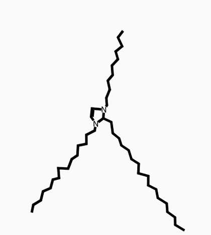 CCCCCCCCCCCCCCCCCC1N(CCCCCCCCCCC)C=CN1CCCCCCCCCCCCCCC